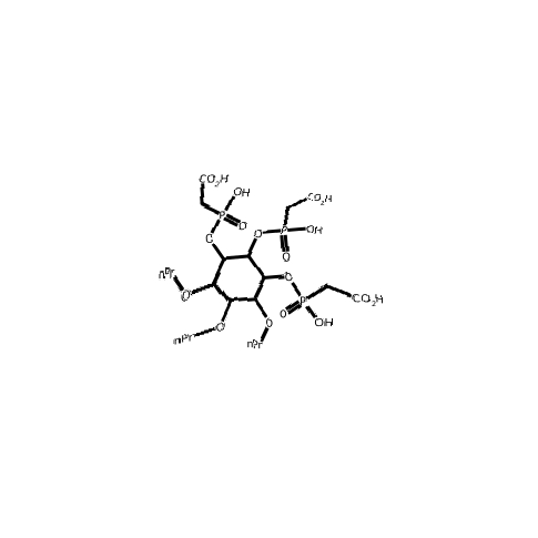 CCCOC1C(OCCC)C(OP(=O)(O)CC(=O)O)C(OP(=O)(O)CC(=O)O)C(OP(=O)(O)CC(=O)O)C1OCCC